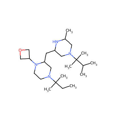 CCC(C)(C)N1CCN(C2COC2)C(CC2CN(C(C)(C)C(C)C)CC(C)N2)C1